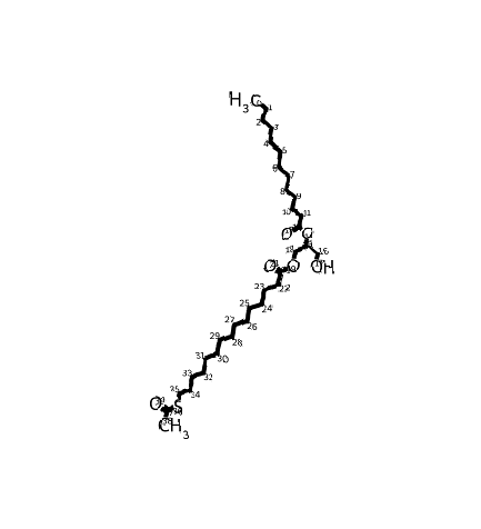 CCCCCCCCCCCCC(=O)O[C@@H](CO)COC(=O)CCCCCCCCCCCCCCSC(C)=O